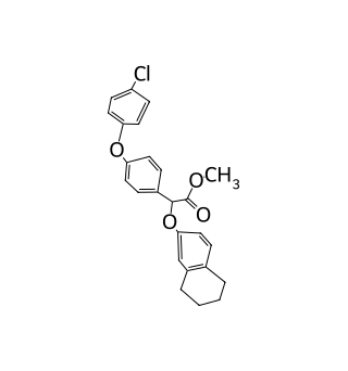 COC(=O)C(Oc1ccc2c(c1)CCCC2)c1ccc(Oc2ccc(Cl)cc2)cc1